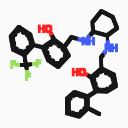 Cc1ccccc1-c1cccc(CN[C@@H]2CCCCC2NCc2cccc(-c3ccccc3C(F)(F)F)c2O)c1O